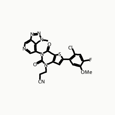 COc1cc(-c2cc3c(s2)c(=O)n(-c2cncc4nnn(C)c24)c(=O)n3CCC#N)c(Cl)cc1F